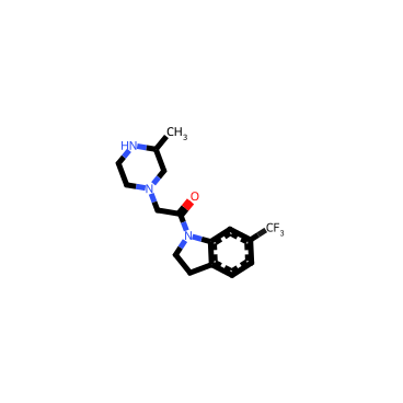 CC1CN(CC(=O)N2CCc3ccc(C(F)(F)F)cc32)CCN1